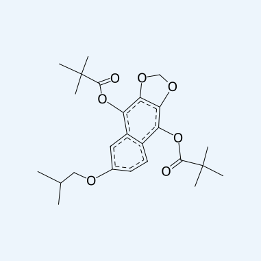 CC(C)COc1ccc2c(OC(=O)C(C)(C)C)c3c(c(OC(=O)C(C)(C)C)c2c1)OCO3